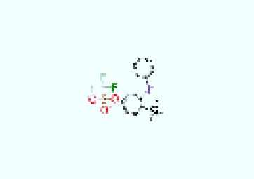 C[Si](C)(C)c1ccccc1[I+]c1ccccc1.O=S(=O)([O-])C(F)(F)F